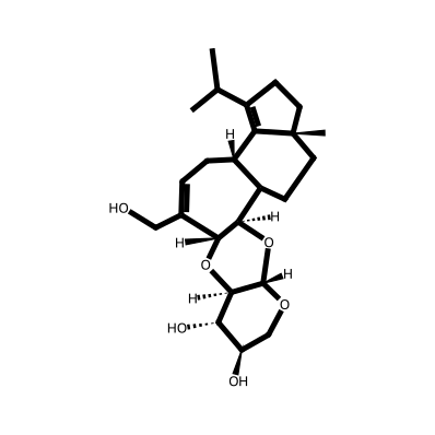 CC(C)C1=C2[C@H]3CC=C(CO)[C@H]4O[C@H]5[C@@H](OC[C@@H](O)[C@@H]5O)O[C@@H]4C3CC[C@@]2(C)CC1